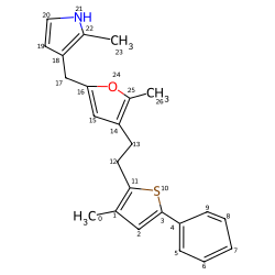 Cc1cc(-c2ccccc2)sc1CCc1cc(Cc2cc[nH]c2C)oc1C